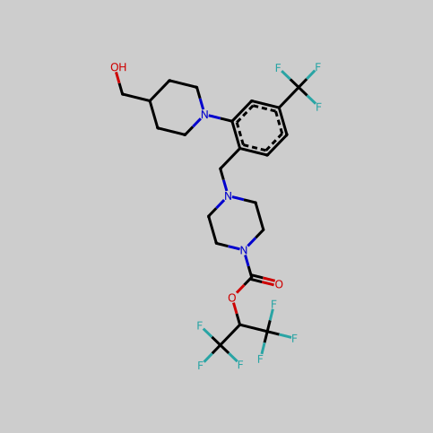 O=C(OC(C(F)(F)F)C(F)(F)F)N1CCN(Cc2ccc(C(F)(F)F)cc2N2CCC(CO)CC2)CC1